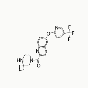 O=C(c1ccc2cc(Oc3ccc(C(F)(F)F)cn3)ccc2n1)N1CCNC2(CCC2)C1